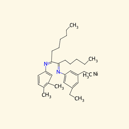 CCCCCCC(=Nc1ccc(C)c(C)c1)C(CCCCC)=Nc1cc(CC)cc(CC)c1.[Ni]